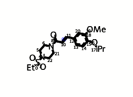 CCS(=O)(=O)N1CCN(C(=O)/C=C/c2ccc(OC(C)C)c(OC)c2)CC1